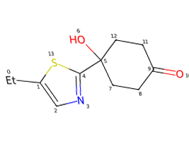 CCc1cnc(C2(O)CCC(=O)CC2)s1